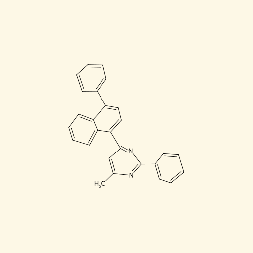 Cc1cc(-c2ccc(-c3ccccc3)c3ccccc23)nc(-c2ccccc2)n1